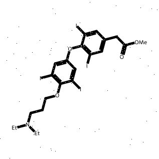 CCN(CC)CCCOc1c(I)cc(Oc2c(I)cc(CC(=O)OC)cc2I)cc1I